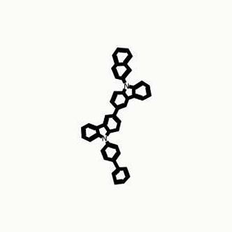 C1=CC2C(C=C1C1=CCC3C(=C1)c1ccccc1N3c1ccc(-c3ccccc3)cc1)c1ccccc1N2c1ccc2ccccc2c1